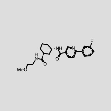 COCCNC(=O)[C@H]1CCC[C@H](NC(=O)c2ccc(-c3cccc(F)c3)nc2)C1